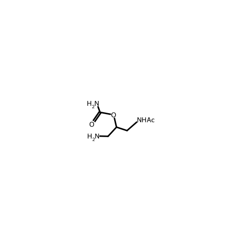 CC(=O)NCC(CN)OC(N)=O